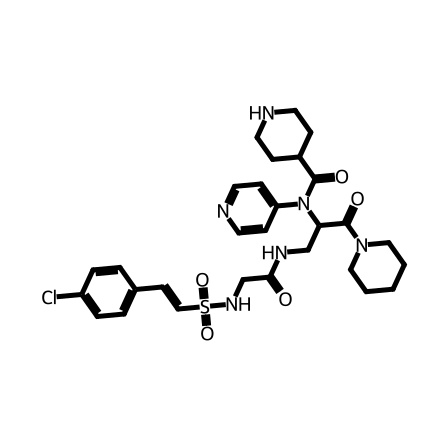 O=C(CNS(=O)(=O)C=Cc1ccc(Cl)cc1)NCC(C(=O)N1CCCCC1)N(C(=O)C1CCNCC1)c1ccncc1